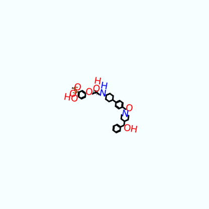 CS(=O)(=O)c1cc(OC[C@@H](O)CNC2CCC(c3ccc(C(=O)N4CCC(C(O)c5ccccc5)CC4)cc3)CC2)ccc1O